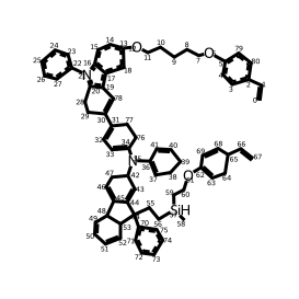 C=Cc1ccc(OCCCCCOc2ccc3c(c2)c2c(n3-c3ccccc3)CCC(C3=CC=C(N(C4=CCCC=C4)C4C=C5C(=CC4)C4C=CC=CC4C5(CC[SiH](C)CCOC4=CCC(C=C)C=C4)c4ccccc4)CC3)=C2)cc1